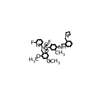 COc1ccc(CN(c2cccc(F)n2)S(=O)(=O)c2cc(C)c(NCc3ccccc3CN3CCC3)cc2F)c(OC)c1